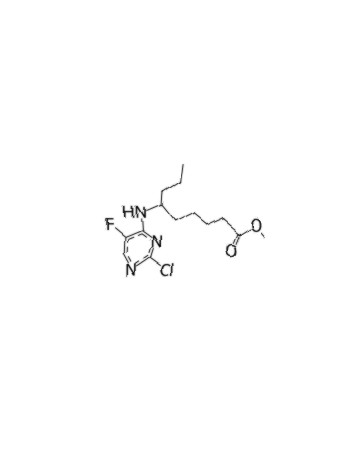 CCCC(CCCCC(=O)OC)Nc1nc(Cl)ncc1F